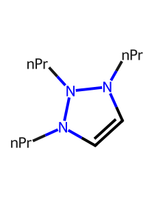 CCCN1C=CN(CCC)N1CCC